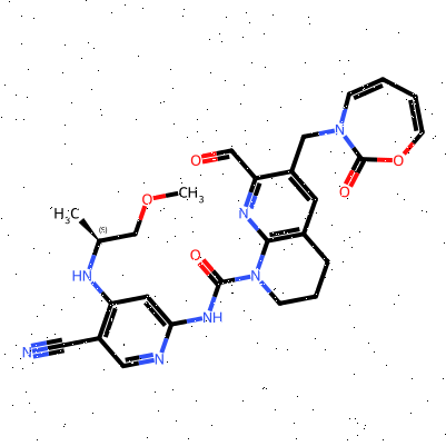 COC[C@H](C)Nc1cc(NC(=O)N2CCCc3cc(CN4C=CC=COC4=O)c(C=O)nc32)ncc1C#N